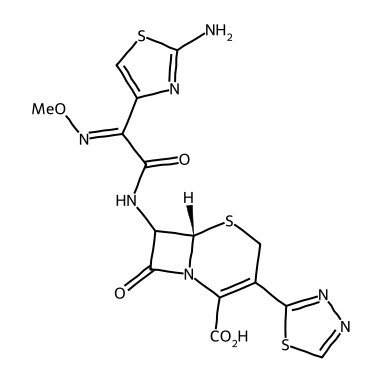 CON=C(C(=O)NC1C(=O)N2C(C(=O)O)=C(c3nncs3)CS[C@@H]12)c1csc(N)n1